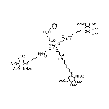 CC(=O)NC1C(SCCCCCCNC(=O)CCOCC(COCCC(=O)NCCCCCCSC2OC(COC(C)=O)C(OC(C)=O)C(OC(C)=O)C2NC(C)=O)(COCCC(=O)NCCCCCCSC2OC(COC(C)=O)C(OC(C)=O)C(OC(C)=O)C2NC(C)=O)NC(=O)CCCC(=O)OCc2ccccc2)OC(COC(C)=O)C(OC(C)=O)C1OC(C)=O